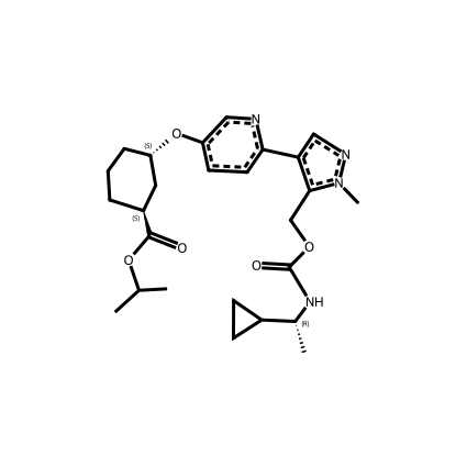 CC(C)OC(=O)[C@H]1CCC[C@H](Oc2ccc(-c3cnn(C)c3COC(=O)N[C@H](C)C3CC3)nc2)C1